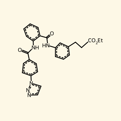 CCOC(=O)CCc1cccc(NC(=O)c2ccccc2NC(=O)c2ccc(-n3ccnn3)cc2)c1